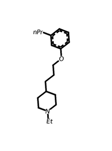 CCCc1cccc(OCCCC2CCN(CC)CC2)c1